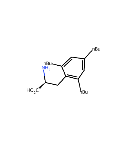 CCCCc1cc(CCCC)c(C[C@H](N)C(=O)O)c(CCCC)c1